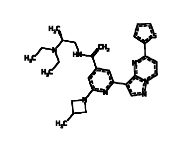 C=C(NC[C@H](C)N(CC)CC)c1cc(-c2cnn3ccc(-c4cccs4)nc23)nc(N2CC(C)C2)c1